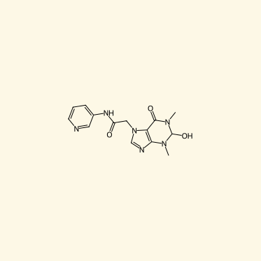 CN1C(=O)c2c(ncn2CC(=O)Nc2cccnc2)N(C)C1O